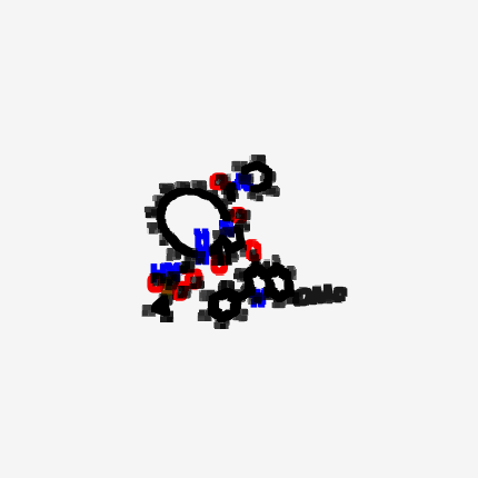 COc1ccc2c(O[C@@H]3C[C@H]4C(=O)N[C@H](C(=O)NS(=O)(=O)C5CC5)CCCCCCCCC[C@H](CC(=O)N5CCCCC5)C(=O)N4C3)cc(-c3ccccc3)nc2c1